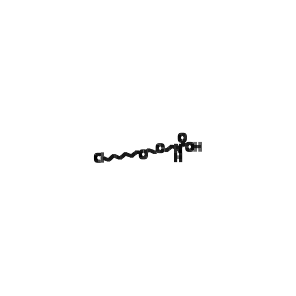 O=C(O)NCCOCCOCCCCCCCl